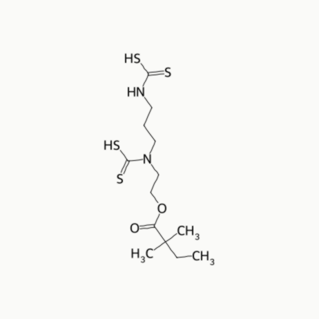 CCC(C)(C)C(=O)OCCN(CCCNC(=S)S)C(=S)S